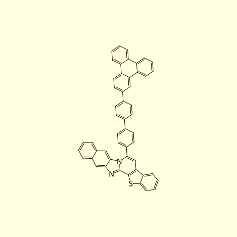 c1ccc2cc3c(cc2c1)nc1c2sc4ccccc4c2cc(-c2ccc(-c4ccc(-c5ccc6c7ccccc7c7ccccc7c6c5)cc4)cc2)n31